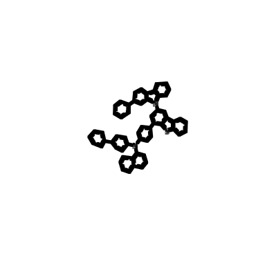 c1ccc(-c2ccc(N(c3ccc(-c4cc(-n5c6ccccc6c6ccc(-c7ccccc7)cc65)cc5c4sc4ccccc45)cc3)c3cccc4ccccc34)cc2)cc1